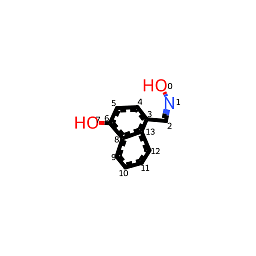 O/N=C\c1ccc(O)c2ccccc12